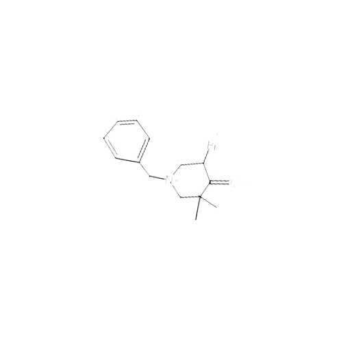 CC1(C)CN(Cc2ccccc2)CC(Br)C1=O